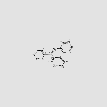 c1ccc(C(=Nc2cccnn2)c2ccccc2)cc1